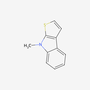 Cn1c2ccccc2c2ccsc21